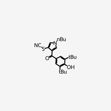 CCCCn1cc(SC#N)c(C(=O)c2cc(C(C)(C)C)c(O)c(C(C)(C)C)c2)c1